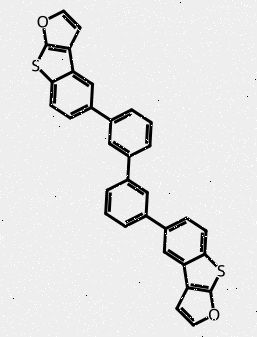 c1cc(-c2cccc(-c3ccc4sc5occc5c4c3)c2)cc(-c2ccc3sc4occc4c3c2)c1